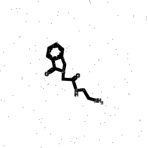 NCCNC(=O)CN1Cc2ccccc2C1=O